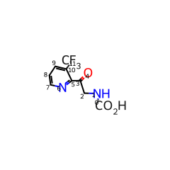 O=C(O)NCC(=O)c1ncccc1C(F)(F)F